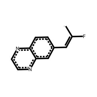 [CH2]/C(F)=C\c1ccc2nccnc2c1